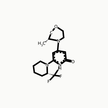 C[C@@H]1COCCN1c1cc(N2CCCC[C@H]2C(F)(F)F)[nH]c(=O)c1